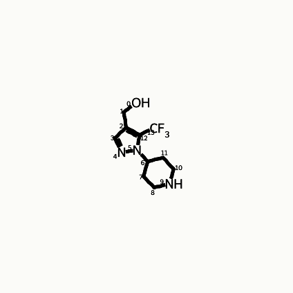 OCc1cnn(C2CCNCC2)c1C(F)(F)F